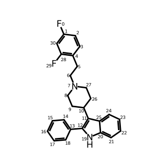 Fc1ccc(CCN2CCC(c3c(-c4ccccc4)[nH]c4ccccc34)CC2)c(F)c1